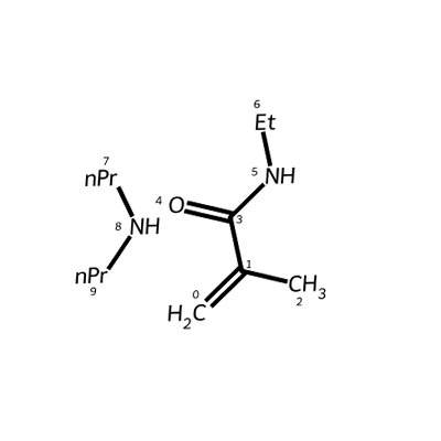 C=C(C)C(=O)NCC.CCCNCCC